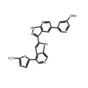 COc1cncc(-c2cnc3[nH]nc(-c4cc5c(-c6ccc(C)s6)cncc5[nH]4)c3c2)c1